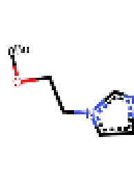 CCCCOCCn1ccnc1